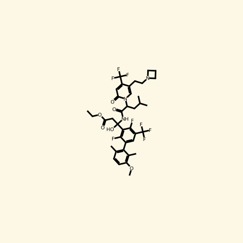 CCOC(=O)CC(O)(NC(=O)C(CC(C)C)n1cc(CCN2CCC2)c(C(F)(F)F)cc1=O)c1c(F)c(-c2c(C)ccc(OC)c2C)cc(C(F)(F)F)c1F